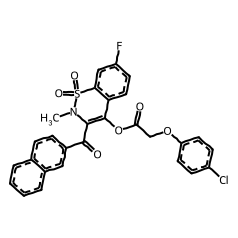 CN1C(C(=O)c2ccc3ccccc3c2)=C(OC(=O)COc2ccc(Cl)cc2)c2ccc(F)cc2S1(=O)=O